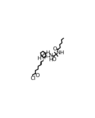 CCCCCC(=O)NC(C)(C)C(=O)NC[C@@H]1[C@H](CC=CCCCC(=O)CCl)[C@@H]2CC[C@H]1O2